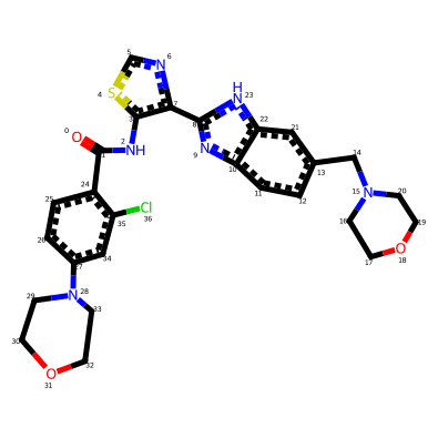 O=C(Nc1scnc1-c1nc2ccc(CN3CCOCC3)cc2[nH]1)c1ccc(N2CCOCC2)cc1Cl